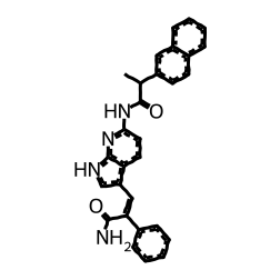 CC(C(=O)Nc1ccc2c(C=C(C(N)=O)c3ccccc3)c[nH]c2n1)c1ccc2ccccc2c1